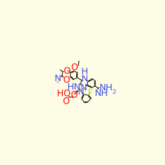 CC(=O)O.CCOc1cc(C(Nc2ccc(C(=N)N)cc2)c2nn(-c3ccccc3F)c(=O)[nH]2)ccc1OC(C)C(=O)N(C)C